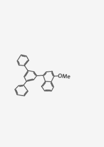 COc1ccc(-c2cc(-c3ccccc3)cc(-c3ccccc3)c2)c2ccccc12